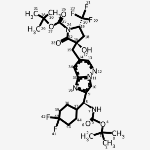 CC(C)(C)OC(=O)N[C@H](c1cn2ncc(C[C@@]3(O)C[C@@H](C(F)(F)F)N(C(=O)OC(C)(C)C)C3=O)cc2n1)C1CCC(F)(F)CC1